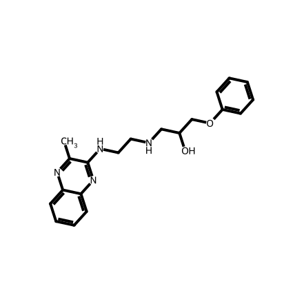 Cc1nc2ccccc2nc1NCCNCC(O)COc1ccccc1